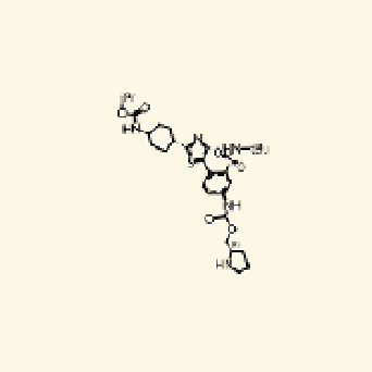 CC(C)OC(=O)N[C@H]1CC[C@H](c2ncc(-c3ccc(NC(=O)OC[C@H]4CCCN4)cc3S(=O)(=O)NC(C)(C)C)s2)CC1